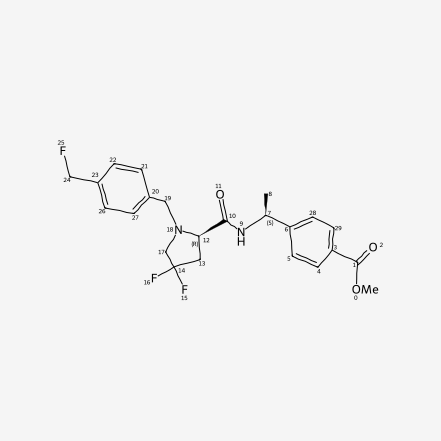 COC(=O)c1ccc([C@H](C)NC(=O)[C@H]2CC(F)(F)CN2Cc2ccc(CF)cc2)cc1